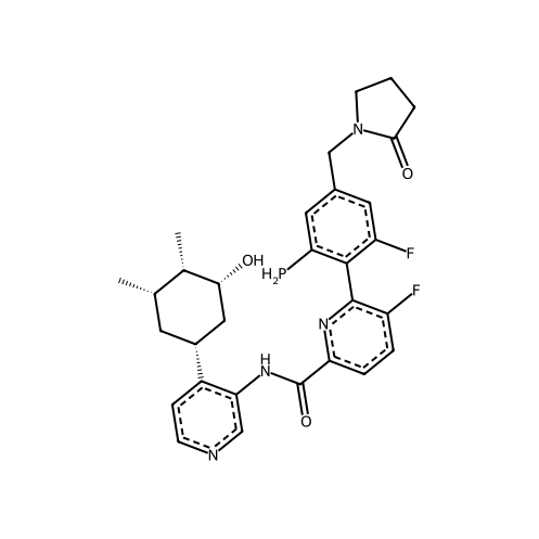 C[C@@H]1[C@H](O)C[C@H](c2ccncc2NC(=O)c2ccc(F)c(-c3c(F)cc(CN4CCCC4=O)cc3P)n2)C[C@@H]1C